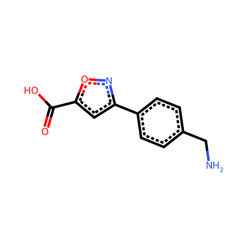 NCc1ccc(-c2cc(C(=O)O)on2)cc1